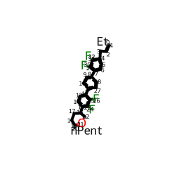 CC/C=C\Cc1ccc(-c2ccc(-c3ccc(C4CCC(CCCCC)OC4)c(F)c3F)cc2)c(F)c1F